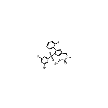 CN(Cc1cc(-c2ccccc2F)n(S(=O)(=O)c2cc(F)cc(Br)c2)c1)C(=O)OC(C)(C)C